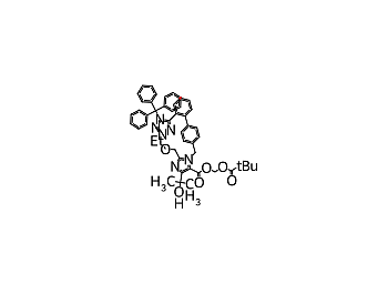 CCOCc1nc(C(C)(C)O)c(C(=O)OCOC(=O)C(C)(C)C)n1Cc1ccc(-c2ccccc2-c2nnnn2C(c2ccccc2)(c2ccccc2)c2ccccc2)cc1